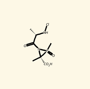 C[C@H](NCl)C(=O)N1[C@@](C)(C(=O)O)P1(C)=O